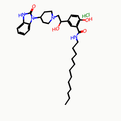 CCCCCCCCCCCCNC(=O)c1cc(C(O)CN2CCC(n3c(=O)[nH]c4ccccc43)CC2)ccc1O.Cl